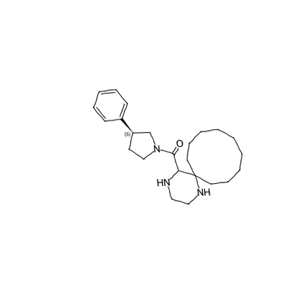 O=C(C1NCCNC12CCCCCCCCC2)N1CC[C@@H](c2ccccc2)C1